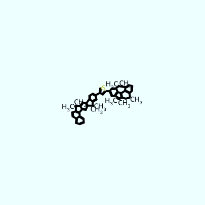 CC1CC2=C3c4c1cccc4C(C)(C)c1cc(-c4cc(-c5ccc6c(c5)C(C)(C)c5cc7c(cc5-6)C(C)(C)c5ccc6ccccc6c5-7)cs4)cc(c13)C2(C)C